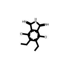 CCc1c(Cl)c2c(c(Cl)c1CC)C(=N)NC2=N